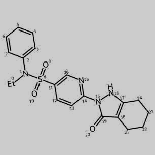 CCN(c1ccccc1)S(=O)(=O)c1ccc(-n2[nH]c3c(c2=O)CCCC3)nc1